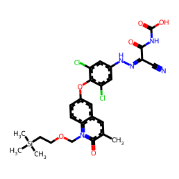 Cc1cc2cc(Oc3c(Cl)cc(NN=C(C#N)C(=O)NC(=O)O)cc3Cl)ccc2n(COCC[Si](C)(C)C)c1=O